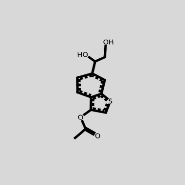 CC(=O)Oc1csc2cc(C(O)CO)ccc12